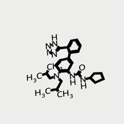 CC(C)CN(CC(C)C)c1ccc(-c2ccccc2-c2nnn[nH]2)cc1NC(=O)NC1CCCC1